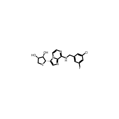 O[C@@H]1[C@H](O)CS[C@H]1c1cnc2c(NCc3cc(F)cc(Cl)c3)nccn12